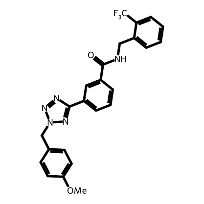 COc1ccc(Cn2nnc(-c3cccc(C(=O)NCc4ccccc4C(F)(F)F)c3)n2)cc1